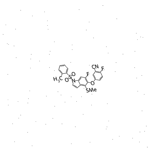 CSc1c(Oc2ccc(F)c(C#N)c2)c(F)cc2c1ccn2S(=O)(=O)c1ccccc1C